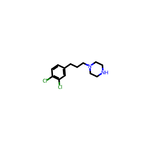 Clc1ccc(CCCN2CCNCC2)cc1Cl